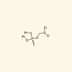 CC[S+]([O-])COP(=S)(OC(C)C)SC(C)C